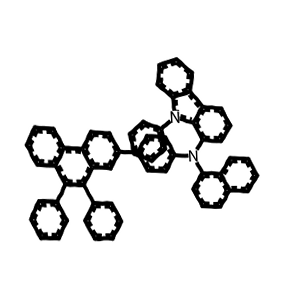 c1ccc(-c2c(-c3ccccc3)c3cc(-c4ccc(N(c5cccc6ccccc56)c5cccc6c7ccccc7n(-c7ccccc7)c56)cc4)ccc3c3ccccc23)cc1